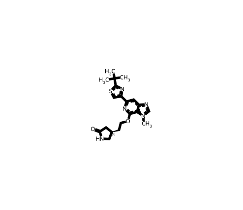 Cn1cnc2cc(-c3csc(C(C)(C)C)n3)nc(OCC[C@H]3CNC(=O)C3)c21